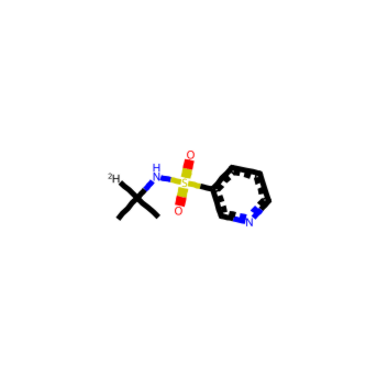 [2H]C(C)(C)NS(=O)(=O)c1cccnc1